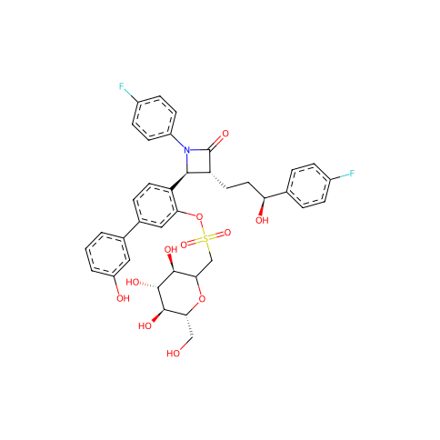 O=C1[C@H](CC[C@H](O)c2ccc(F)cc2)[C@@H](c2ccc(-c3cccc(O)c3)cc2OS(=O)(=O)CC2O[C@H](CO)[C@@H](O)[C@H](O)[C@H]2O)N1c1ccc(F)cc1